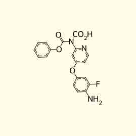 Nc1ccc(Oc2ccnc(N(C(=O)O)C(=O)Oc3ccccc3)c2)cc1F